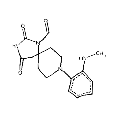 CNc1ccccc1N1CCC2(CC1)C(=O)NC(=O)N2C=O